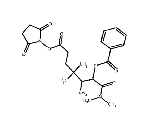 CC(C(SC(=S)c1ccccc1)C(=O)N(C)C)C(C)(C)CCC(=O)ON1C(=O)CCC1=O